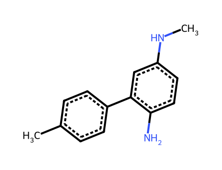 CNc1ccc(N)c(-c2ccc(C)cc2)c1